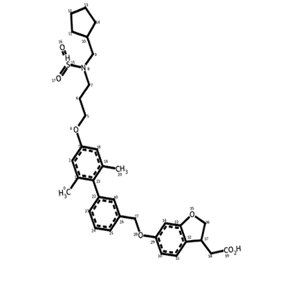 Cc1cc(OCCCN(CC2CCCC2)[SH](=O)=O)cc(C)c1-c1cccc(COc2ccc3c(c2)OCC3CC(=O)O)c1